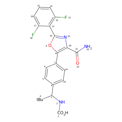 CC(C)(C)C(NC(=O)O)c1ccc(-c2oc(-c3c(F)cccc3F)nc2C(N)=O)cc1